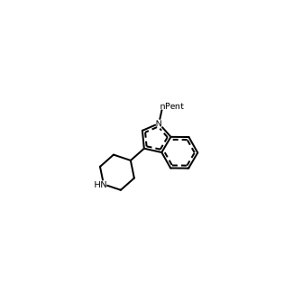 CCCCCn1cc(C2CCNCC2)c2ccccc21